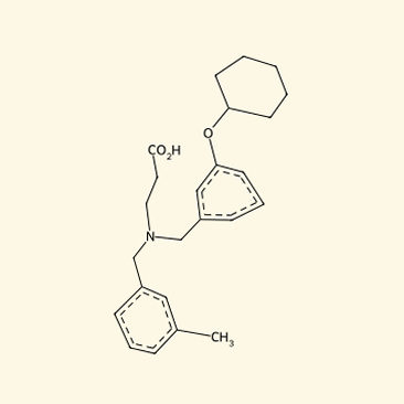 Cc1cccc(CN(CCC(=O)O)Cc2cccc(OC3CCCCC3)c2)c1